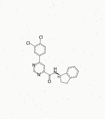 O=C(N[C@@H]1CCc2ccccc21)c1cc(-c2ccc(Cl)c(Cl)c2)ncn1